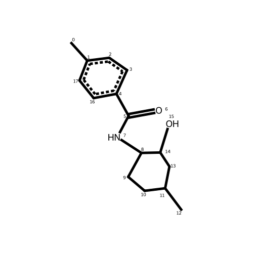 Cc1ccc(C(=O)NC2CCC(C)CC2O)cc1